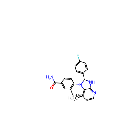 CC(=O)Nc1cc(C(N)=O)ccc1N1c2c(C(=O)O)ccnc2NC1c1ccc(F)cc1